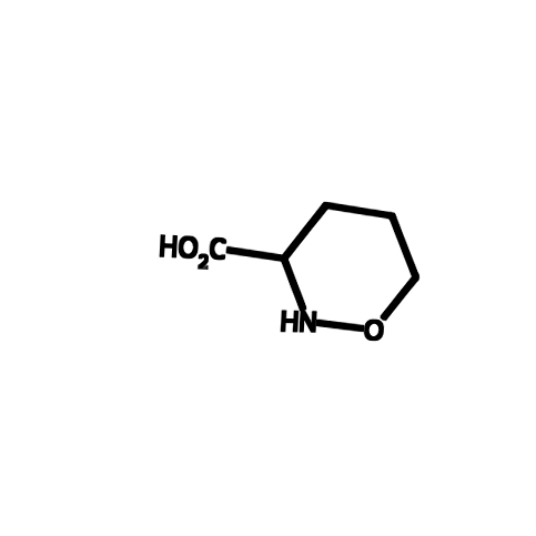 O=C(O)C1CCCON1